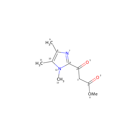 COC(=O)CC(=O)c1nc(C)c(C)n1C